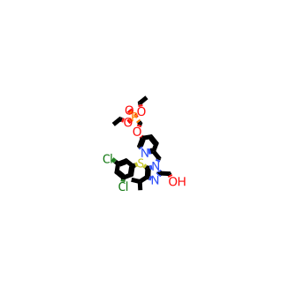 CCOP(=O)(COc1ccc(Cn2c(CO)nc(C(C)C)c2Sc2cc(Cl)cc(Cl)c2)nc1)OCC